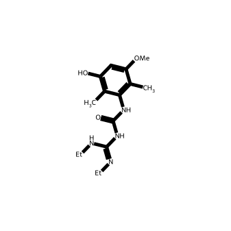 CCN=C(NCC)NC(=O)Nc1c(C)c(O)cc(OC)c1C